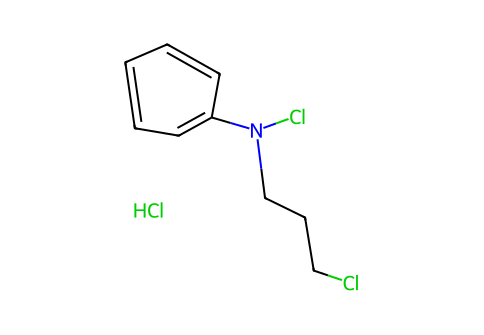 Cl.ClCCCN(Cl)c1ccccc1